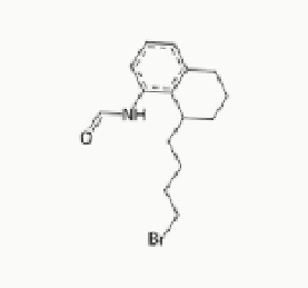 O=CNc1cccc2c1C(CCCCBr)CCC2